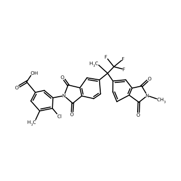 Cc1cc(C(=O)O)cc(N2C(=O)c3ccc(C(C)(c4ccc5c(c4)C(=O)N(C)C5=O)C(F)(F)F)cc3C2=O)c1Cl